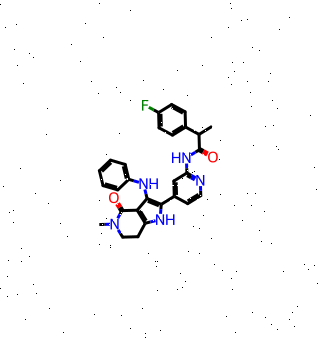 CC(C(=O)Nc1cc(-c2[nH]c3c(c2Nc2ccccc2)C(=O)N(C)CC3)ccn1)c1ccc(F)cc1